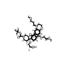 COCCCN1CCOc2ccc(CO[C@H]3CN(C(=O)OC(C)(C)C)CC[C@]3(OC[C@@H](C)O)c3ccc(COCCOC)cc3)cc21